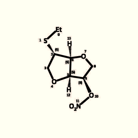 CCS[C@H]1CO[C@H]2[C@@H]1OC[C@H]2O[N+](=O)[O-]